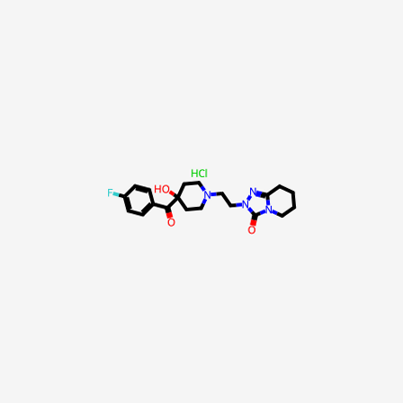 Cl.O=C(c1ccc(F)cc1)C1(O)CCN(CCn2nc3n(c2=O)CCCC3)CC1